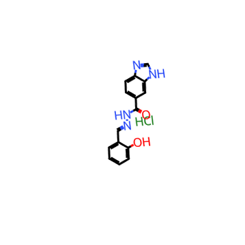 Cl.O=C(NN=Cc1ccccc1O)c1ccc2nc[nH]c2c1